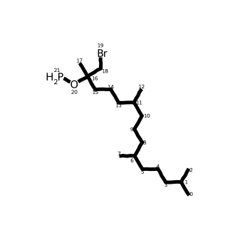 CC(C)CCCC(C)CCCC(C)CCCC(C)(CBr)OP